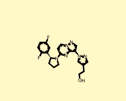 OCCc1cnn(-c2cnn3ccc(N4CCC[C@H]4c4cc(F)ccc4F)nc23)c1